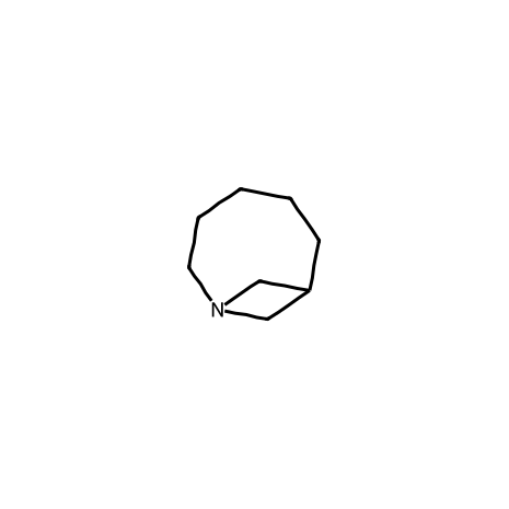 C1CCC2CN(CC1)C2